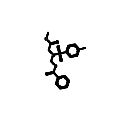 COC(=O)CN(COC(=O)c1ccccc1)S(=O)(=O)c1ccc(C)cc1